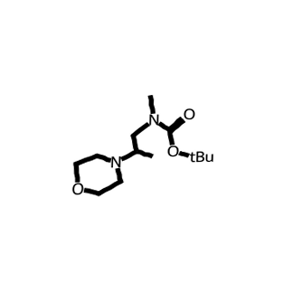 CC(CN(C)C(=O)OC(C)(C)C)N1CCOCC1